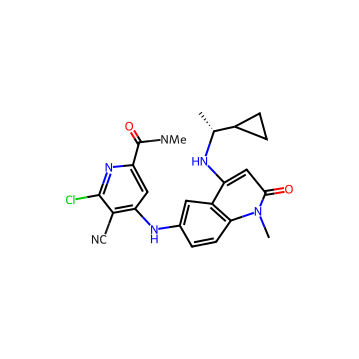 CNC(=O)c1cc(Nc2ccc3c(c2)c(N[C@H](C)C2CC2)cc(=O)n3C)c(C#N)c(Cl)n1